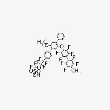 COc1cc(-c2ccccc2)c(Oc2c(F)c(F)c(-c3c(F)c(F)c(C)c(F)c3F)c(F)c2F)cc1-c1ccc(C(F)(F)C(F)(F)OC(F)(F)S(=O)(=O)O)cc1